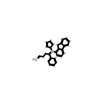 C=CCC[C](c1ccccc1)=[Hf]([c]1cccc2c1Cc1ccccc1-2)[CH]1C=CC=C1